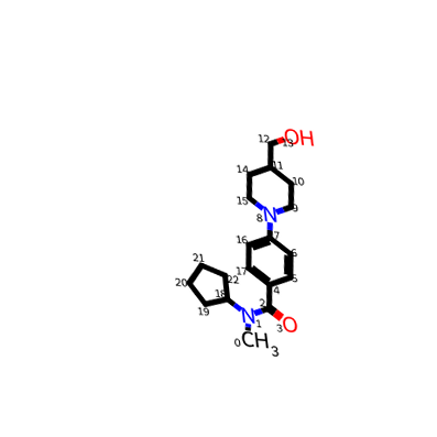 CN(C(=O)c1ccc(N2CCC(CO)CC2)cc1)C1CCCC1